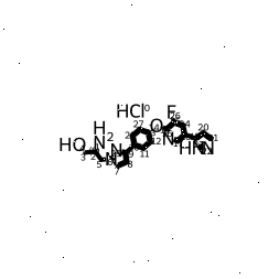 Cl.N[C@H](CO)Cn1ccc(-c2ccc(Oc3ncc(-c4ccn[nH]4)cc3F)cc2)n1